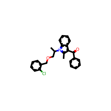 Cc1c(C(=O)c2ccccc2)c2ccccc2n1C(C)COCc1ccccc1Cl